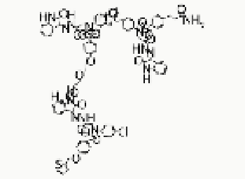 COCCOCCOc1ccc(S(=O)(=O)N(CC(=O)NN=C2C(=O)Nc3ccccc32)c2ccc(Cl)cc2)cc1.Cc1ccc(N(CC(=O)NN=C2C(=O)Nc3ccccc32)S(=O)(=O)c2ccc(CCC(N)=O)cc2)cc1.O=C(CN(c1ccc(Cl)cc1)S(=O)(=O)c1ccc(OCc2cccs2)cc1)NN=C1C(=O)Nc2ccccc21